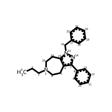 CCCN1CCc2c(-c3ccccc3)nn(Cc3ccccc3)c2CC1